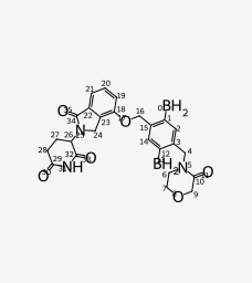 Bc1cc(CN2CCOCC2=O)c(B)cc1COc1cccc2c1CN(C1CCC(=O)NC1=O)C2=O